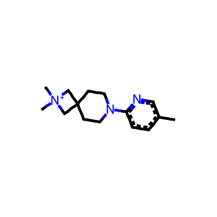 Cc1ccc(N2CCC3(CC2)C[N+](C)(C)C3)nc1